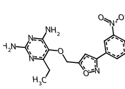 CCc1nc(N)nc(N)c1OCc1cc(-c2cccc([N+](=O)[O-])c2)no1